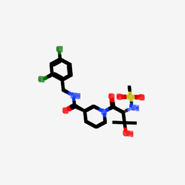 CC(C)(O)[C@@H](NS(C)(=O)=O)C(=O)N1CCC[C@@H](C(=O)NCc2ccc(Cl)cc2Cl)C1